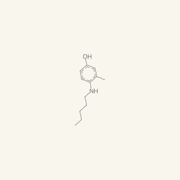 CCCCCNc1ccc(O)cc1C